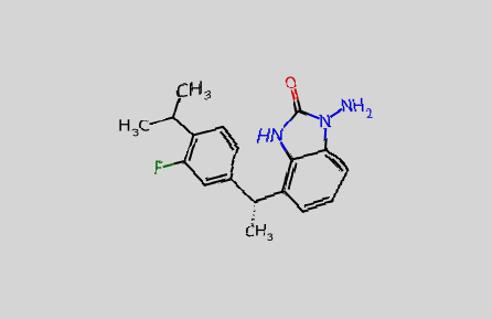 CC(C)c1ccc([C@@H](C)c2cccc3c2[nH]c(=O)n3N)cc1F